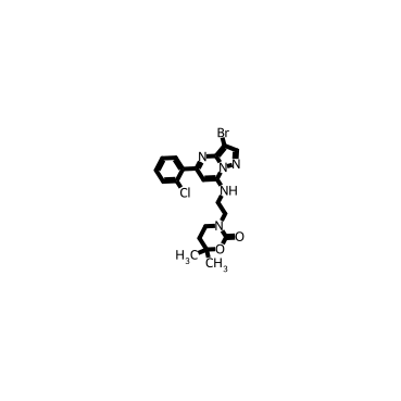 CC1(C)CCN(CCNc2cc(-c3ccccc3Cl)nc3c(Br)cnn23)C(=O)O1